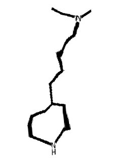 CN(C)CC[CH]CC1CCNCC1